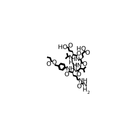 CCC(=O)OCc1ccc(NC(=O)[C@H](CCCNC(N)=O)NC(=O)[C@@H](NC(=O)[C@H](CCC(=O)O)NC(=O)[C@H](CCC(=O)O)NC(C)C)C(C)C)cc1